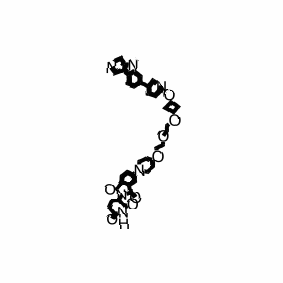 Cn1c2ccncc2c2ccc(-c3ccc(O[C@H]4C[C@H](OCCOCCOC5CCN(c6ccc7c(c6)C(=O)N(C6CCC(=O)NC6=O)C7=O)CC5)C4)nc3)cc21